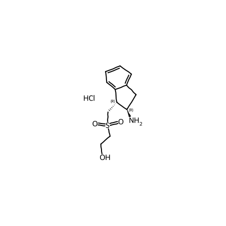 Cl.N[C@@H]1Cc2ccccc2[C@H]1CS(=O)(=O)CCO